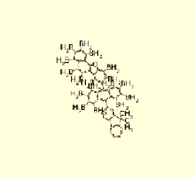 Bc1c(-c2c3c(B)c(B)c(B)c(B)c3c(-c3ccc4c(c3)C(C)(C)c3ccccc3-4)c3c(B)c(B)c(B)c(B)c23)c(B)c2c(oc3c4c(B)c(B)c(B)c(B)c4c(B)c(B)c32)c1B